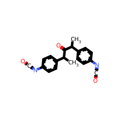 CC(C(=O)C(C)c1ccc(N=C=O)cc1)c1ccc(N=C=O)cc1